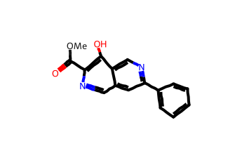 COC(=O)c1ncc2cc(-c3ccccc3)ncc2c1O